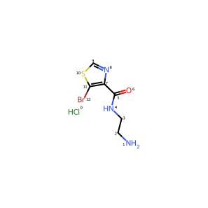 Cl.NCCNC(=O)c1ncsc1Br